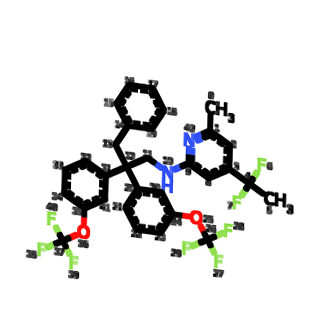 Cc1cc(C(C)(F)F)cc(NCC(Cc2ccccc2)(c2cccc(OC(F)(F)F)c2)c2cccc(OC(F)(F)F)c2)n1